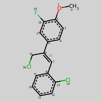 COc1ccc(/C(=C/c2ccccc2Cl)CCl)cc1F